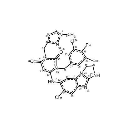 Cn1cnc(Cn2c(=O)nc(Nc3cc4c(cc3Cl)nc3n4CCN3)n(Cc3cc(F)c(F)c(Cl)c3)c2=O)n1